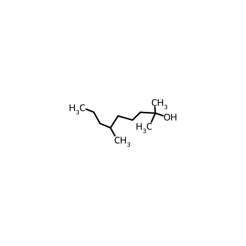 CCCC(C)CCCC(C)(C)O